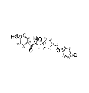 O=C(NCC1(O)CCC(COc2ccc(Cl)cc2)CC1)c1ccc(O)cc1